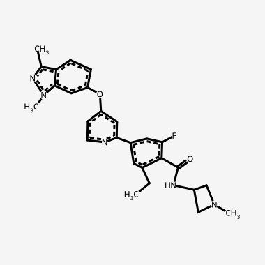 CCc1cc(-c2cc(Oc3ccc4c(C)nn(C)c4c3)ccn2)cc(F)c1C(=O)NC1CN(C)C1